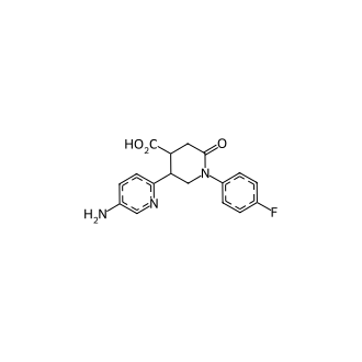 Nc1ccc(C2CN(c3ccc(F)cc3)C(=O)CC2C(=O)O)nc1